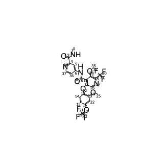 CNC(=O)c1cc(NC(=O)c2c(Oc3ccc(OC(F)(F)F)cc3OC)cnc(C(F)(F)F)c2OC)ccn1